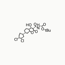 CC(C)(C)OC(=O)CNC(=O)c1c(O)c2ccc(-c3ccc(Cl)c(Cl)c3)cc2oc1=O